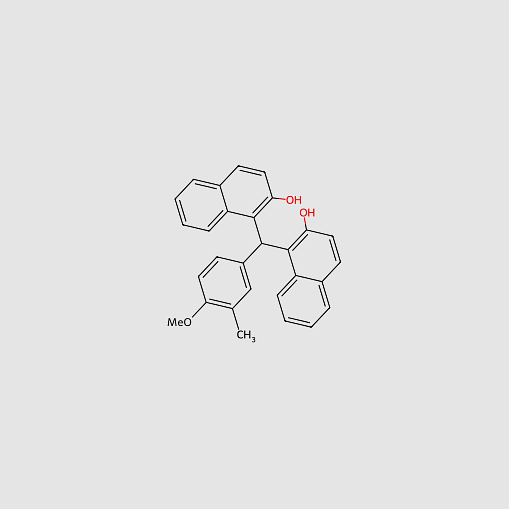 COc1ccc(C(c2c(O)ccc3ccccc23)c2c(O)ccc3ccccc23)cc1C